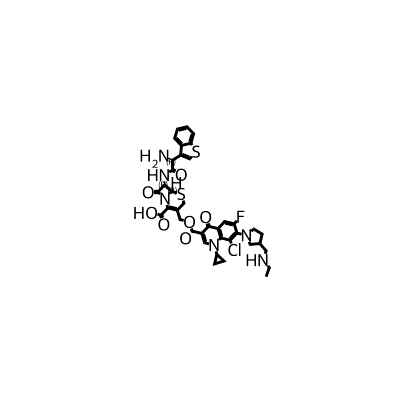 CCNCC1CCN(c2c(F)cc3c(=O)c(C(=O)OCC4=C(C(=O)O)N5C(=O)[C@@H](NC(=O)[C@H](N)c6csc7ccccc67)[C@H]5SC4)cn(C4CC4)c3c2Cl)C1